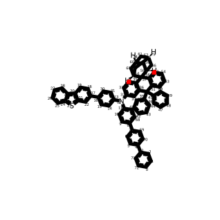 c1ccc(-c2ccc(-c3ccc(N(c4ccc(-c5ccc6c(c5)sc5ccccc56)cc4)c4ccc5c(c4)C(c4ccccc4)(c4ccccc4)c4ccccc4C54[C@H]5C[C@H]6C[C@H](C[C@H]4C6)C5)cc3)cc2)cc1